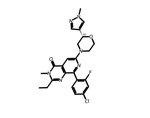 CCc1nc2c(-c3ccc(Cl)cc3F)nc(N3CCO[C@@H](c4cnn(C)c4)C3)cc2c(=O)n1C